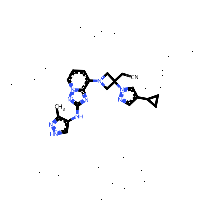 Cc1n[nH]cc1Nc1nc2c(N3CC(CC#N)(n4cc(C5CC5)cn4)C3)cccn2n1